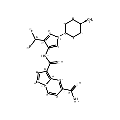 C[C@H]1CC[C@H](n2cc(NC(=O)c3cnn4ccc(C(N)=O)nc34)c(C(F)F)n2)CC1